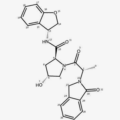 C[C@@H](C(=O)N1C[C@H](O)C[C@H]1C(=O)N[C@H]1COc2ccccc21)N1Cc2ccccc2C1=O